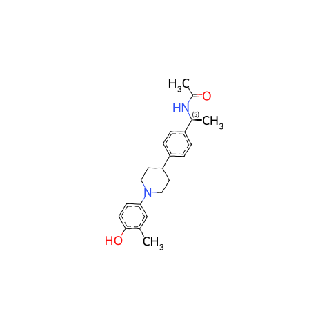 CC(=O)N[C@@H](C)c1ccc(C2CCN(c3ccc(O)c(C)c3)CC2)cc1